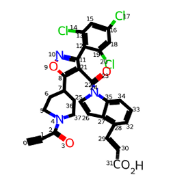 C#CC(=O)N1CCC(c2onc(-c3c(Cl)cc(Cl)cc3Cl)c2C(=O)n2ccc3c(/C=C/C(=O)O)cccc32)CC1